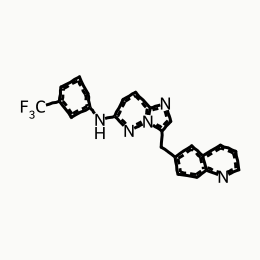 FC(F)(F)c1cccc(Nc2ccc3ncc(Cc4ccc5ncccc5c4)n3n2)c1